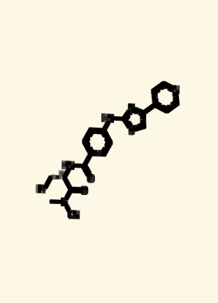 CC(C)C[C@H](NC(=O)c1ccc(Nc2nc(-c3ccncc3)cs2)cc1)C(=O)N(C)C#N